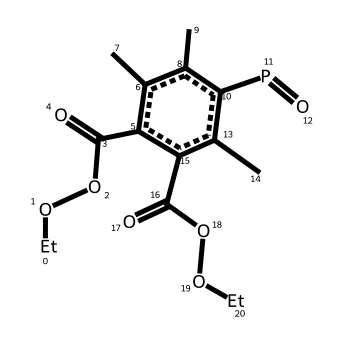 CCOOC(=O)c1c(C)c(C)c(P=O)c(C)c1C(=O)OOCC